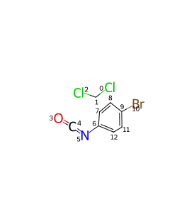 ClCCl.O=C=Nc1ccc(Br)cc1